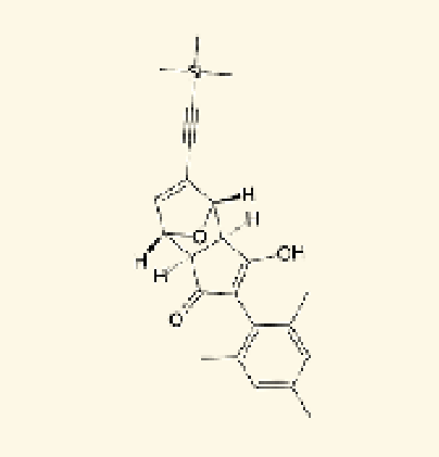 Cc1cc(C)c(C2=C(O)[C@H]3[C@@H](C2=O)[C@@H]2C=C(C#C[Si](C)(C)C)[C@H]3O2)c(C)c1